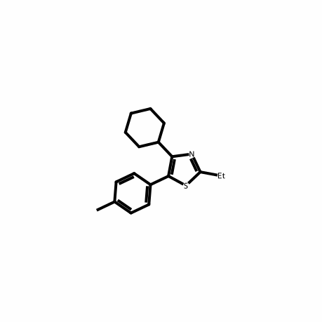 CCc1nc(C2CCCCC2)c(-c2ccc(C)cc2)s1